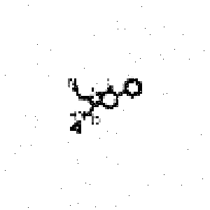 N#CCc1sc2c(c1C(=O)NC1CC1)CCC(c1ccccc1)C2=O